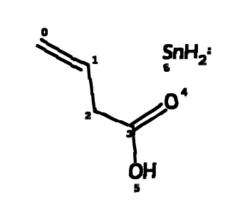 C=CCC(=O)O.[SnH2]